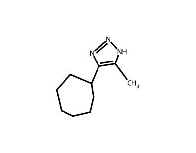 Cc1[nH]nnc1C1CCCCCC1